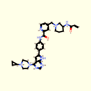 C=CC(=O)NC1CCCN(Cc2ccnc(C(=O)Nc3ccc(-c4cc5c(N6CCN(C7CC7)CC6)ncnc5[nH]4)cc3)c2)C1